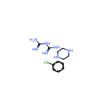 C1CNCCN1.Clc1ccccc1.N=C(N)NC(=N)N